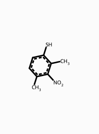 Cc1ccc(S)c(C)c1[N+](=O)[O-]